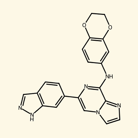 c1cn2cc(-c3ccc4cn[nH]c4c3)nc(Nc3ccc4c(c3)OCCO4)c2n1